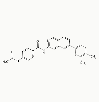 CC1=C(N)SC(c2ccc3cnc(NC(=O)c4ccc(OC(C)F)cc4)cc3c2)=CC1